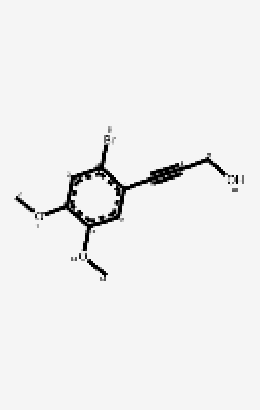 COc1cc(Br)c(C#CCO)cc1OC